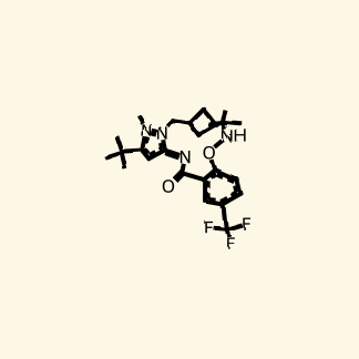 Cn1c(C(C)(C)C)cc(=NC(=O)c2cc(C(F)(F)F)ccc2ONC(C)(C)C)n1CC1CCC1